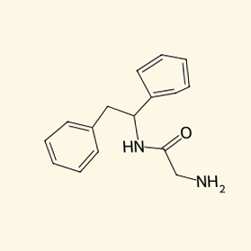 NCC(=O)NC(Cc1ccccc1)c1ccccc1